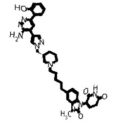 Cn1c(=O)n(C2CCC(=O)NC2=O)c2ccc(CCCCCN3CCC[C@@H](Cn4cc(-c5cc(-c6ccccc6O)nnc5N)cn4)C3)cc21